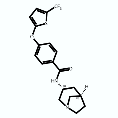 O=C(N[C@@H]1C[C@H]2CCN(C2)C1)c1ccc(Oc2ccc(C(F)(F)F)s2)cc1